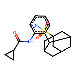 NS(=O)(=O)C12CC3CC(C1)C(c1ccccc1NC(=O)C1CC1)C(C3)C2